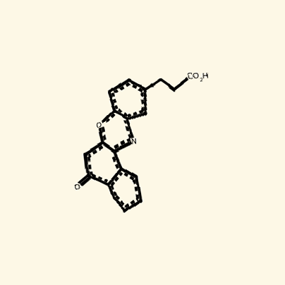 O=C(O)CCc1ccc2oc3cc(=O)c4ccccc4c-3nc2c1